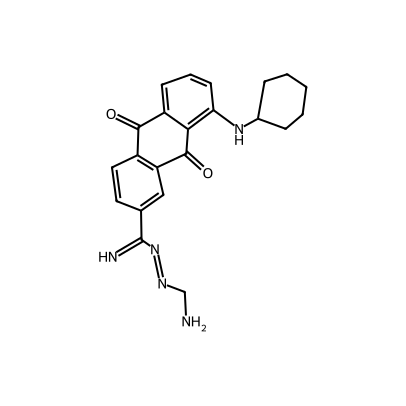 N=C(N=NCN)c1ccc2c(c1)C(=O)c1c(NC3CCCCC3)cccc1C2=O